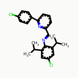 CC(C)c1cc(Cl)cc(C(C)C)c1/N=C/c1cccc(-c2ccc(Cl)cc2)n1